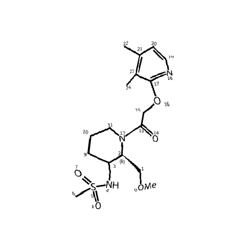 COC[C@H]1C(NS(C)(=O)=O)CCCN1C(=O)COc1nccc(C)c1C